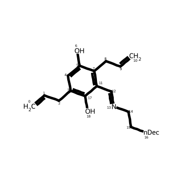 C=CCc1cc(O)c(CC=C)c(C=NCCCCCCCCCCCC)c1O